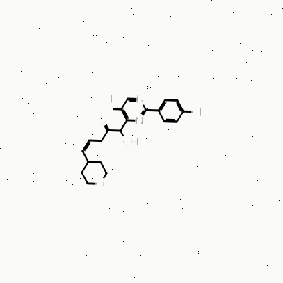 Cc1cnc(-c2ccc(Cl)cc2)nc1C(C=O)C(=O)C/C=C\C1CCOCC1